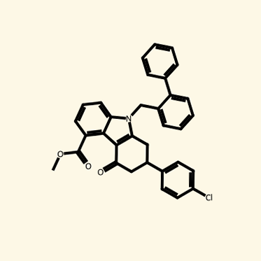 COC(=O)c1cccc2c1c1c(n2Cc2ccccc2-c2ccccc2)CC(c2ccc(Cl)cc2)CC1=O